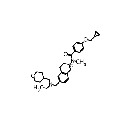 CCN(Cc1ccc2c(c1)CC[C@H](N(C)C(=O)c1ccc(OCC3CC3)cc1)C2)CC1CCOCC1